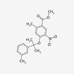 COC(=O)c1cc([N+](=O)[O-])c(OC(C)(C)c2cccc(C)c2)cc1C